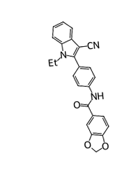 CCn1c(-c2ccc(NC(=O)c3ccc4c(c3)OCO4)cc2)c(C#N)c2ccccc21